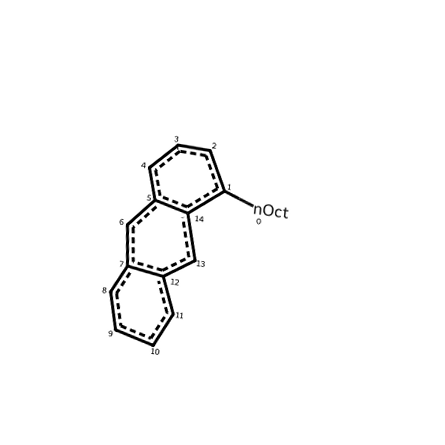 CCCCCCCCc1c[c]cc2cc3ccccc3cc12